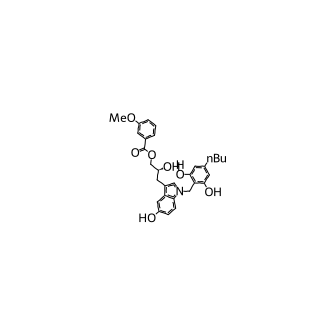 CCCCc1cc(O)c(Cn2cc(C[C@H](O)COC(=O)c3cccc(OC)c3)c3cc(O)ccc32)c(O)c1